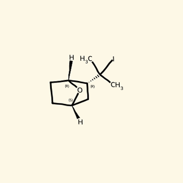 CC(C)(I)[C@@H]1C[C@@H]2CC[C@H]1O2